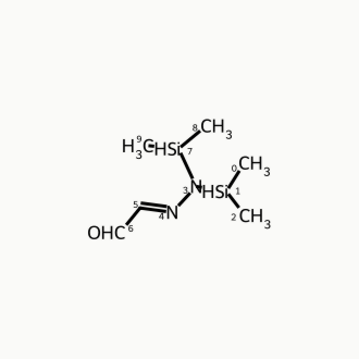 C[SiH](C)N(N=CC=O)[SiH](C)C